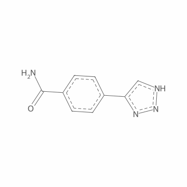 NC(=O)c1ccc(-c2c[nH]nn2)cc1